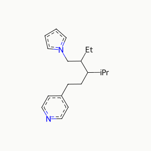 CCC(Cn1cccc1)C(CCc1ccncc1)C(C)C